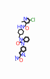 Cc1ncc(Cl)cc1C(=O)NC1CCC(Cn2c(=O)n(-c3ccc4c(c3)cc(C(=O)N(C)C)n4C)c3ccccc32)CC1